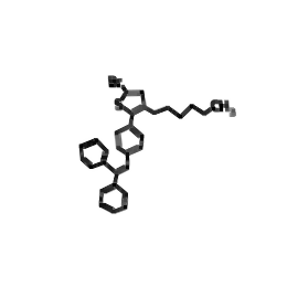 CCCCCCc1cc(Br)sc1-c1ccc(C=C(c2ccccc2)c2ccccc2)cc1